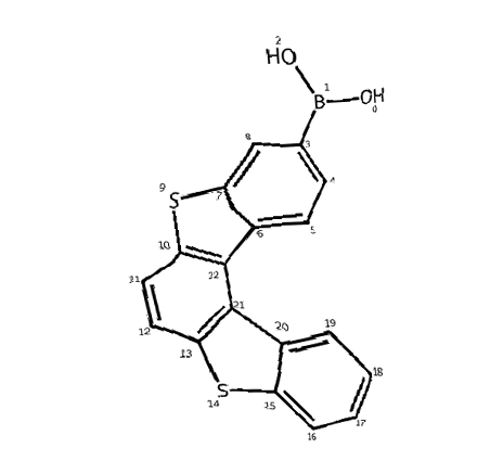 OB(O)c1ccc2c(c1)sc1ccc3sc4ccccc4c3c12